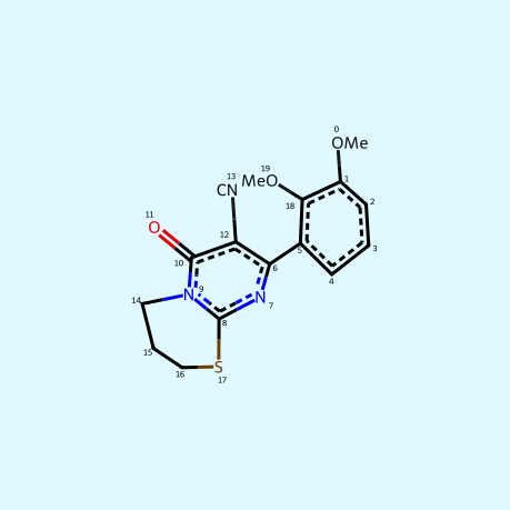 COc1cccc(-c2nc3n(c(=O)c2C#N)CCCS3)c1OC